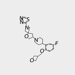 Fc1ccc(OCC2COC2)c(C2CCN(C3COC4(C3)CN(c3nncs3)C4)CC2)c1